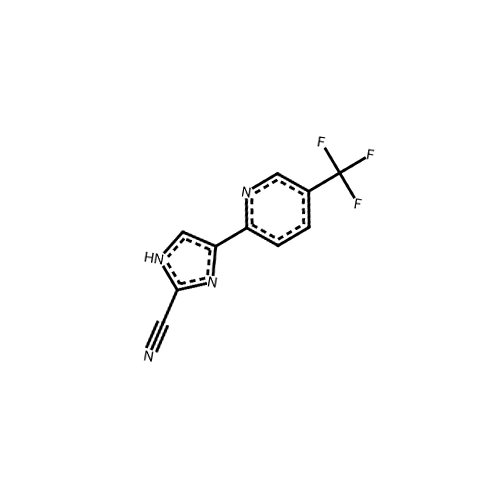 N#Cc1nc(-c2ccc(C(F)(F)F)cn2)c[nH]1